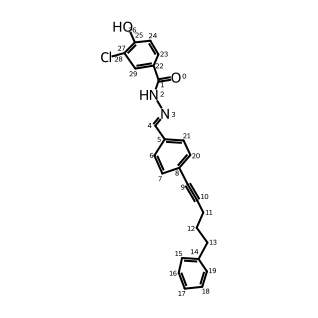 O=C(N/N=C/c1ccc(C#CCCCc2ccccc2)cc1)c1ccc(O)c(Cl)c1